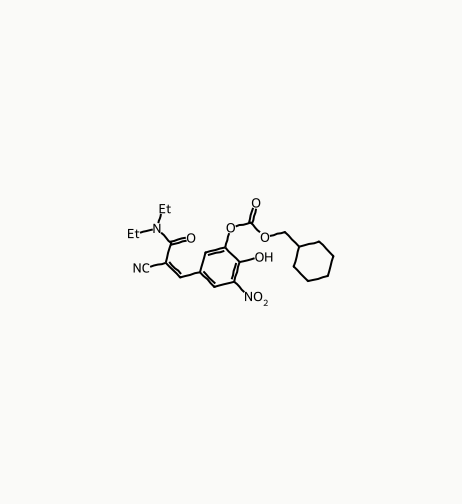 CCN(CC)C(=O)C(C#N)=Cc1cc(OC(=O)OCC2CCCCC2)c(O)c([N+](=O)[O-])c1